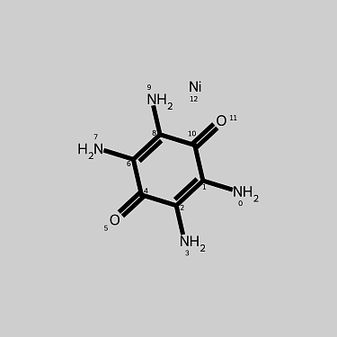 NC1=C(N)C(=O)C(N)=C(N)C1=O.[Ni]